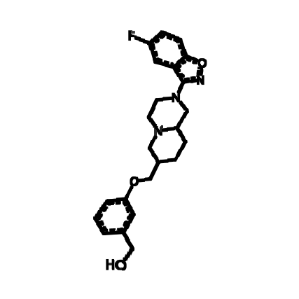 OCc1cccc(OCC2CCC3CN(c4noc5ccc(F)cc45)CCN3C2)c1